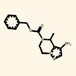 CC1c2c(N)cnn2CCN1C(=O)OCc1ccccc1